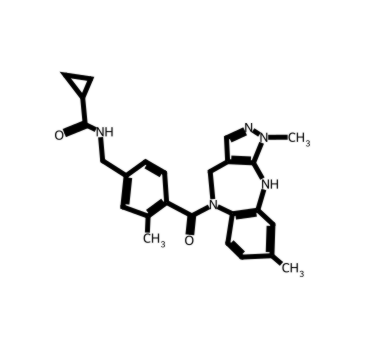 Cc1ccc2c(c1)Nc1c(cnn1C)CN2C(=O)c1ccc(CNC(=O)C2CC2)cc1C